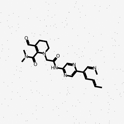 C/C=C/C=C(\C=N/C)c1cnc(NC(=O)CN2CCCC(C=O)=C2C(=O)N(C)C)cn1